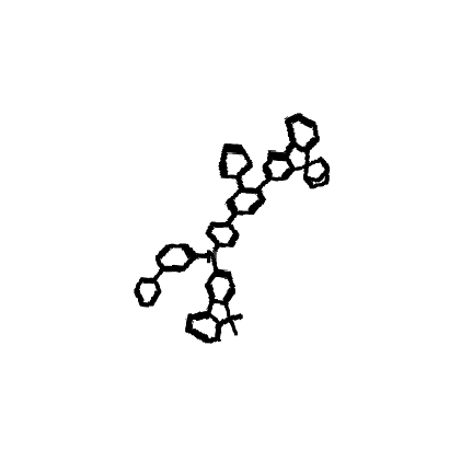 CC1(C)c2ccccc2-c2cc(N(c3ccc(-c4ccc(-c5ccc6c(c5)C5(CC7CCC5C7)c5ccccc5-6)c(-c5ccccc5)c4)cc3)c3cccc(-c4ccccc4)c3)ccc21